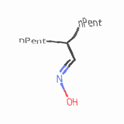 CCCCCC(/C=N/O)CCCCC